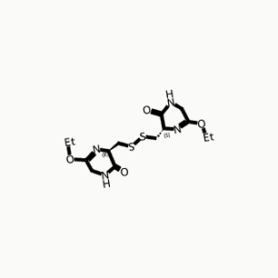 CCOC1=N[C@@H](CSSC[C@H]2N=C(OCC)CNC2=O)C(=O)NC1